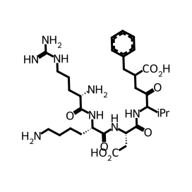 CC(C)C(NC(=O)[C@H](CC(=O)O)NC(=O)[C@H](CCCCN)NC(=O)[C@@H](N)CCCNC(=N)N)C(=O)CC(Cc1ccccc1)C(=O)O